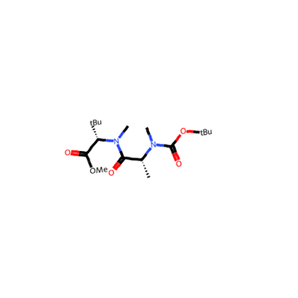 COC(=O)[C@@H](N(C)C(=O)[C@@H](C)N(C)C(=O)OC(C)(C)C)C(C)(C)C